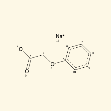 O=C([O-])COc1ccccc1.[Na+]